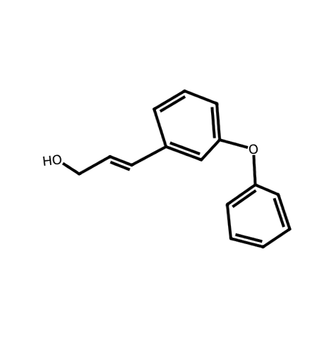 OCC=Cc1cccc(Oc2ccccc2)c1